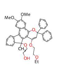 CCOCCOC1=CC(c2ccccc2)(c2ccccc2)Oc2c1c1c(c3cc(OC)c(OC)cc23)-c2ccccc2C1(C)OCCO